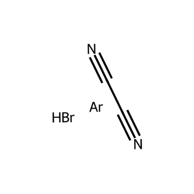 Br.N#CC#N.[Ar]